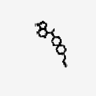 CN(c1ncnc2[nH]ccc12)C1CCC2(CC1)CCN(CC=O)CC2